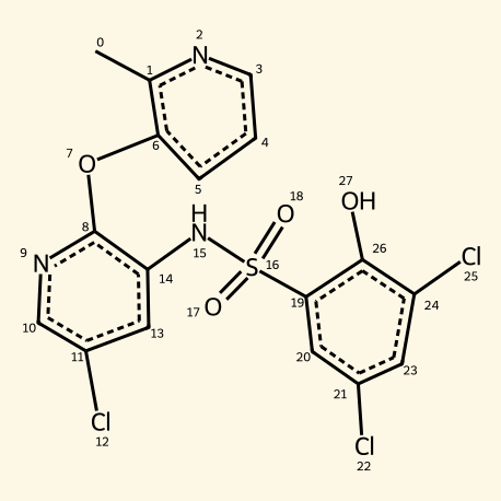 Cc1ncccc1Oc1ncc(Cl)cc1NS(=O)(=O)c1cc(Cl)cc(Cl)c1O